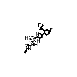 C#Cc1nc(NC(=O)N[C@@H](CO)c2ccc(-c3ccc(F)cc3C3CC3(F)F)cn2)cs1